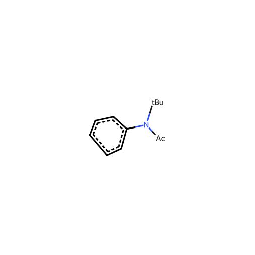 CC(=O)N(c1ccccc1)C(C)(C)C